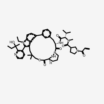 C=CC(=O)N1CCC(C(=O)N(C)[C@H](C(=O)N[C@H]2Cc3cccc(c3)-c3ccc4c(c3)c(c(-c3cccnc3C(C)(O)CC)n4CC)CC(C)(C)COC(=O)[C@@H]3CCCN(N3)C2=O)C(C)C)C1